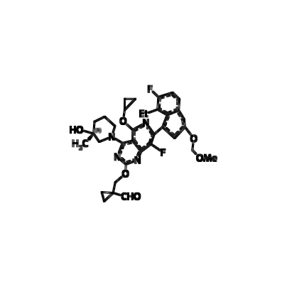 CCc1c(F)ccc2cc(OCOC)cc(-c3nc(OC4CC4)c4c(N5CCC[C@@](C)(O)C5)nc(OCC5(C=O)CC5)nc4c3F)c12